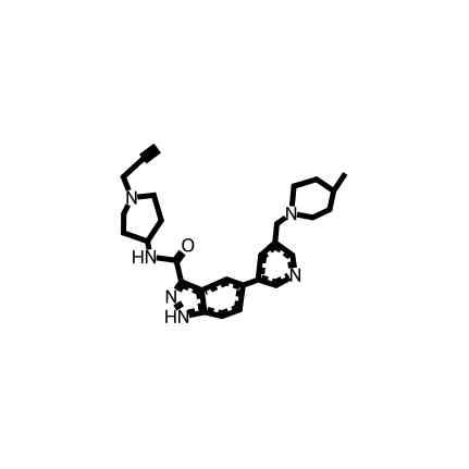 C#CCN1CCC(NC(=O)c2n[nH]c3ccc(-c4cncc(CN5CCC(C)CC5)c4)cc23)CC1